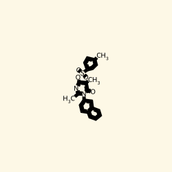 Cc1ccc(S(=O)(=O)Oc2nc(C)n(-c3ccc4ccccc4c3)c(=O)c2C)cc1